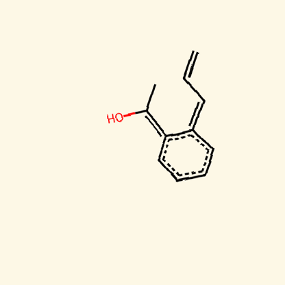 C=C/C=c1/cccc/c1=C(/C)O